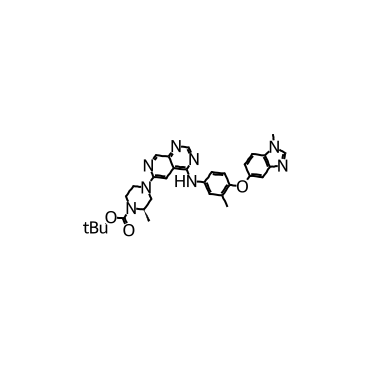 Cc1cc(Nc2ncnc3cnc(N4CCN(C(=O)OC(C)(C)C)[C@H](C)C4)cc23)ccc1Oc1ccc2c(c1)ncn2C